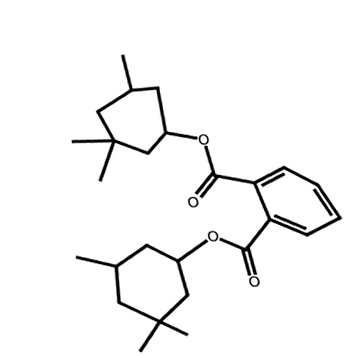 CC1CC(OC(=O)c2ccccc2C(=O)OC2CC(C)CC(C)(C)C2)CC(C)(C)C1